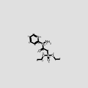 CCOP(=O)(CC(=O)N(N)c1ccccn1)OCC